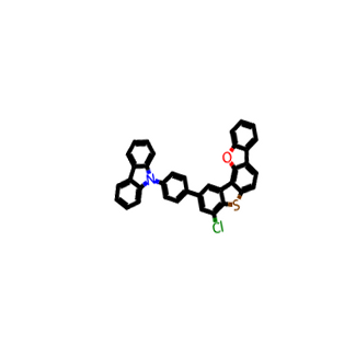 Clc1cc(-c2ccc(-n3c4ccccc4c4ccccc43)cc2)cc2c1sc1ccc3c4ccccc4oc3c12